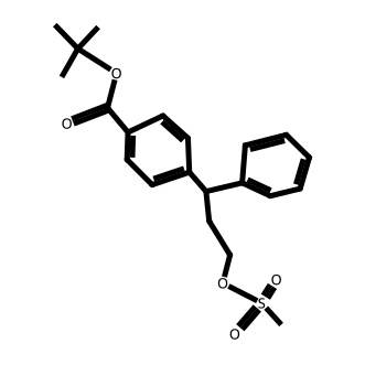 CC(C)(C)OC(=O)c1ccc(C(CCOS(C)(=O)=O)c2ccccc2)cc1